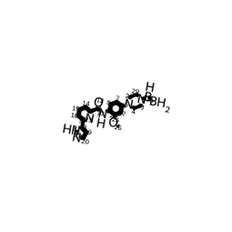 BBN1CCN(c2ccc(NC(=O)c3cccc(-c4ccn[nH]4)n3)c(OC)c2)CC1